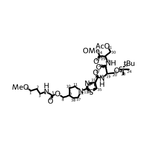 COCCCNC(=O)OCC1CCN(c2nc(C(=O)NC(CO[Si](C)(C)C(C)(C)C)C(=O)NC(COC(C)=O)C(=O)OC)cs2)CC1